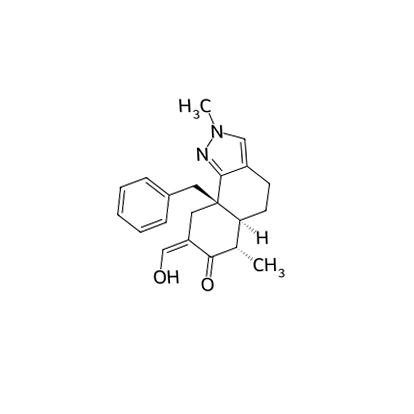 C[C@@H]1C(=O)C(=CO)C[C@]2(Cc3ccccc3)c3nn(C)cc3CC[C@@H]12